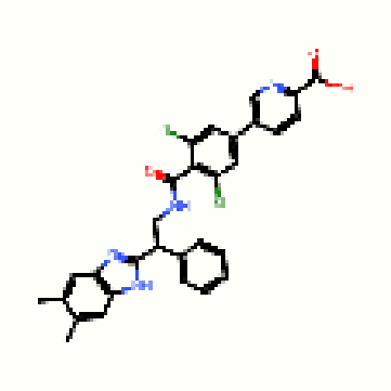 Cc1cc2nc(C(CNC(=O)c3c(Cl)cc(-c4ccc(C(=O)O)nc4)cc3Cl)c3ccccc3)[nH]c2cc1C